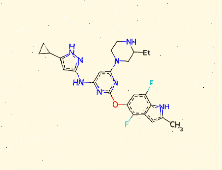 CCC1CN(c2cc(Nc3cc(C4CC4)[nH]n3)nc(Oc3cc(F)c4[nH]c(C)cc4c3F)n2)CCN1